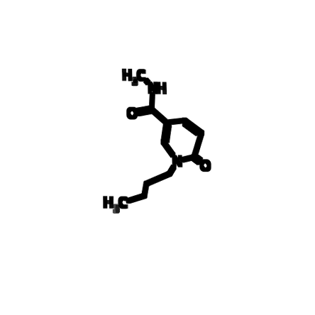 CCCCn1cc(C(=O)NC)ccc1=O